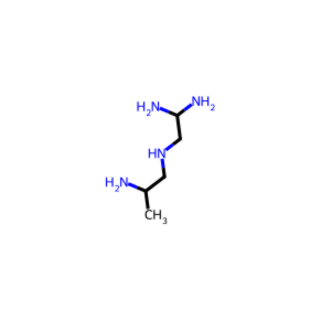 CC(N)CNCC(N)N